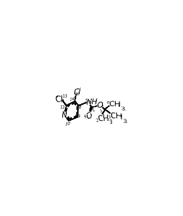 CC(C)(C)OC(=O)Nc1ccnc(Cl)c1Cl